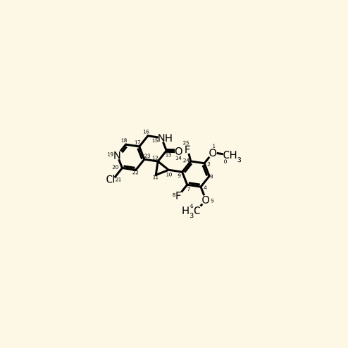 COc1cc(OC)c(F)c(C2CC23C(=O)NCc2cnc(Cl)cc23)c1F